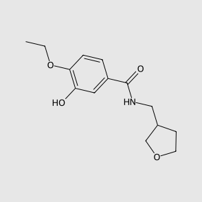 CCOc1ccc(C(=O)NCC2CCOC2)cc1O